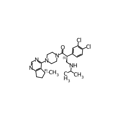 CC(C)NC[C@@H](C(=O)N1CCN(c2ncnc3c2[C@H](C)CC3)CC1)c1ccc(Cl)c(Cl)c1